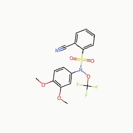 COc1ccc(N(OC(F)(F)F)S(=O)(=O)c2ccccc2C#N)cc1OC